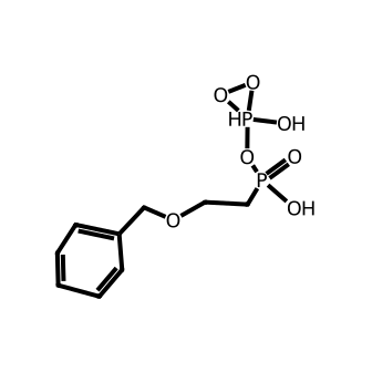 O=P(O)(CCOCc1ccccc1)O[PH]1(O)OO1